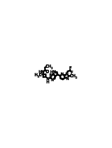 CCC(=O)N[C@]1(C)C[C@@H](Nc2ncc3c(-c4ccc5nc(C)n(CC(F)F)c5n4)c[nH]c3n2)C1